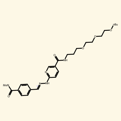 CCCCOCCOCCOCCCNC(=O)c1ccc(N/N=C/c2ccc(C(=O)NC)cc2)nc1